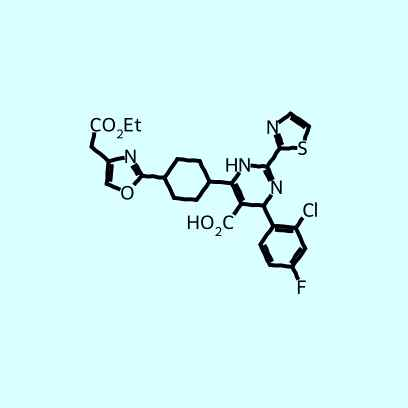 CCOC(=O)Cc1coc(C2CCC(C3=C(C(=O)O)C(c4ccc(F)cc4Cl)N=C(c4nccs4)N3)CC2)n1